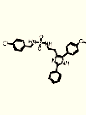 COc1ccc(-c2[nH]c(-c3ccccc3)nc2CCNS(=O)(=O)NCc2ccc(Cl)cc2)cc1